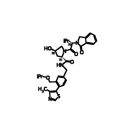 Cc1ncsc1-c1ccc(CNC(=O)[C@@H]2C[C@@H](O)CN2C(=O)[C@H](C(C)C)N2Cc3ccccc3C2=O)cc1COC(C)C